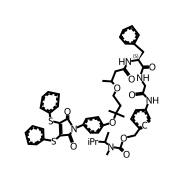 CC(CC(=O)N[C@@H](Cc1ccccc1)C(=O)NCC(=O)Nc1ccc(COC(=O)N(C)C(C)C(C)C)cc1)OCCC(C)(C)Oc1ccc(N2C(=O)C(Sc3ccccc3)=C(Sc3ccccc3)C2=O)cc1